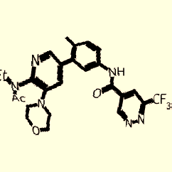 CCN(C(C)=O)c1ncc(-c2cc(NC(=O)c3cnnc(C(F)(F)F)c3)ccc2C)cc1N1CCOCC1